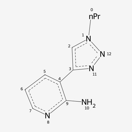 CCCn1cc(-c2cccnc2N)nn1